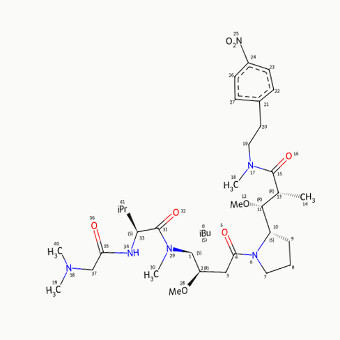 CC[C@H](C)[C@@H]([C@@H](CC(=O)N1CCC[C@H]1[C@H](OC)[C@@H](C)C(=O)N(C)CCc1ccc([N+](=O)[O-])cc1)OC)N(C)C(=O)[C@@H](NC(=O)CN(C)C)C(C)C